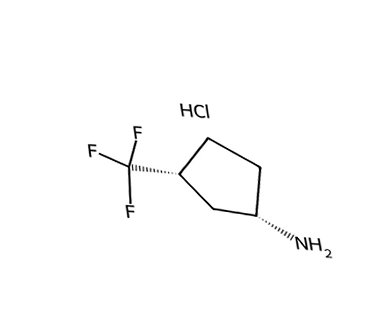 Cl.N[C@H]1CC[C@@H](C(F)(F)F)C1